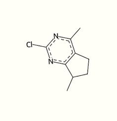 Cc1nc(Cl)nc2c1CCC2C